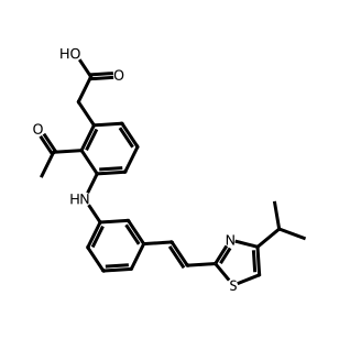 CC(=O)c1c(CC(=O)O)cccc1Nc1cccc(/C=C/c2nc(C(C)C)cs2)c1